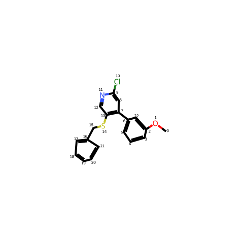 COc1cccc(-c2cc(Cl)ncc2SCc2ccccc2)c1